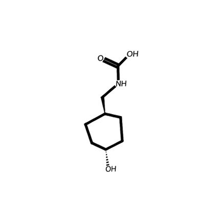 O=C(O)NC[C@H]1CC[C@H](O)CC1